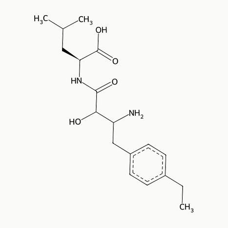 CCc1ccc(CC(N)C(O)C(=O)N[C@@H](CC(C)C)C(=O)O)cc1